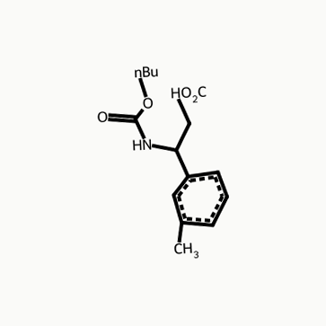 CCCCOC(=O)NC(CC(=O)O)c1cccc(C)c1